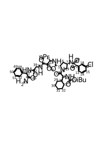 CCCC(NC(=O)[C@@H]1C[C@@H](NS(=O)(=O)c2cccc(Cl)c2)CN1C(=O)[C@@H](NC(=O)OCC(C)C)C1CCCCC1)C(=O)C(=O)NCC(=O)N[C@H](C(N)=O)c1ccccc1